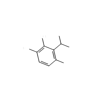 CCC(O)c1c(O)ccc(O)c1O